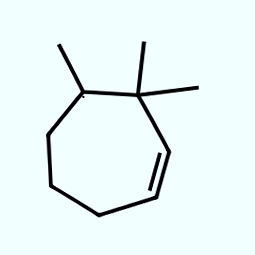 C[C]1CCCC=CC1(C)C